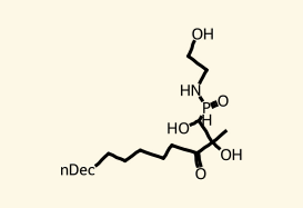 CCCCCCCCCCCCCCCC(=O)C(C)(O)C(O)[PH](=O)NCCO